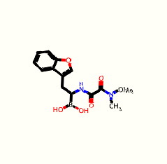 CON(C)C(=O)C(=O)NC(Cc1coc2ccccc12)B(O)O